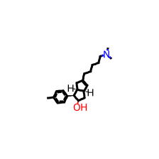 Cc1ccc([C@H]2[C@H]3CC(CCCCCN(C)C)=C[C@H]3C[C@H]2O)cc1